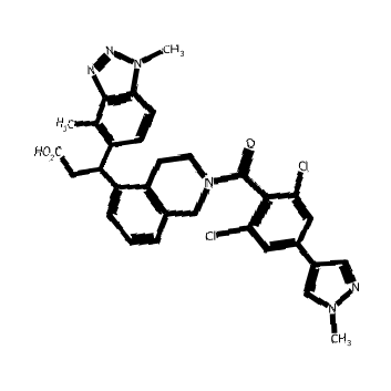 Cc1c(C(CC(=O)O)c2cccc3c2CCN(C(=O)c2c(Cl)cc(-c4cnn(C)c4)cc2Cl)C3)ccc2c1nnn2C